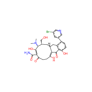 CN(C)[C@@H]1/C(O)=C(/C(N)=O)C(=O)CC/C(O)=C2/C(=O)c3c(O)ccc(-c4cncc(Br)c4)c3C[C@H]2C[C@@H]1CO